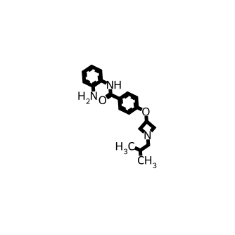 CC(C)CN1CC(Oc2ccc(C(=O)Nc3ccccc3N)cc2)C1